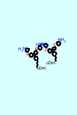 CCCCCCCCCCCCCC1CCC(c2ccc(Oc3cccc(N)c3)cc2)(c2ccc(Oc3cccc(N)c3)cc2)CC1.CCCCCCCCCCCCCCC1CCC(c2ccc(Oc3cccc(N)c3)cc2)(c2ccc(Oc3cccc(N)c3)cc2)CC1